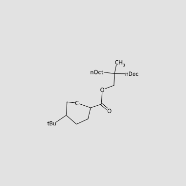 CCCCCCCCCCC(C)(CCCCCCCC)COC(=O)C1CCC(C(C)(C)C)CC1